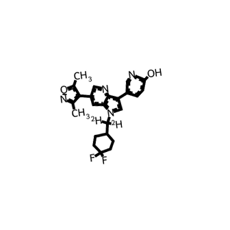 [2H]C([2H])(C1CCC(F)(F)CC1)n1cc(-c2ccc(O)nc2)c2ncc(-c3c(C)noc3C)cc21